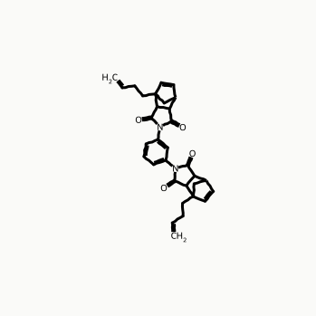 C=CCCC12C=CC(C1)C1C(=O)N(c3cccc(N4C(=O)C5C6C=CC(CCC=C)(C6)C5C4=O)c3)C(=O)C12